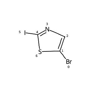 Brc1cnc(I)s1